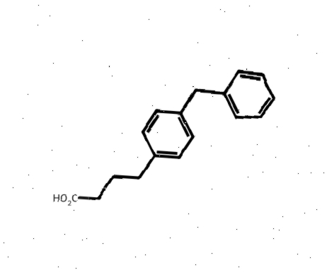 O=C(O)CCCc1ccc(Cc2ccccc2)cc1